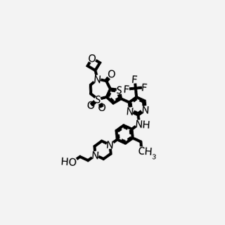 CCc1cc(N2CCN(CCO)CC2)ccc1Nc1ncc(C(F)(F)F)c(-c2cc3c(s2)C(=O)N(C2COC2)CCS3(=O)=O)n1